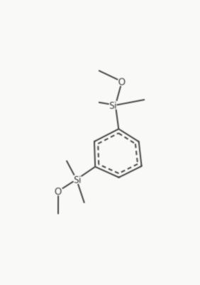 CO[Si](C)(C)c1cccc([Si](C)(C)OC)c1